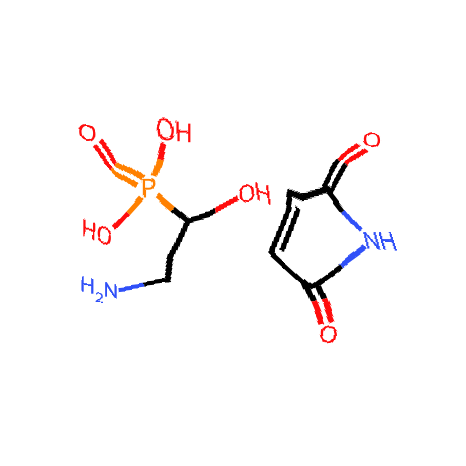 NCC(O)P(=O)(O)O.O=C1C=CC(=O)N1